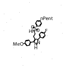 CCCCCc1ccc(S(=O)(=O)NCCc2c(-c3ccc(F)cc3)n[nH]c2-c2ccc(OC)cc2)cc1